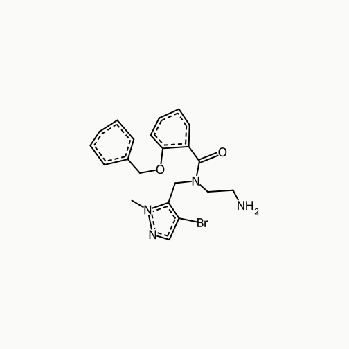 Cn1ncc(Br)c1CN(CCN)C(=O)c1ccccc1OCc1ccccc1